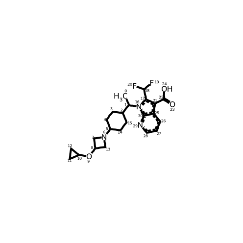 CC(C1CCC(N2CC(OC3CC3)C2)CC1)n1c(C(F)F)c(C(=O)O)c2cccnc21